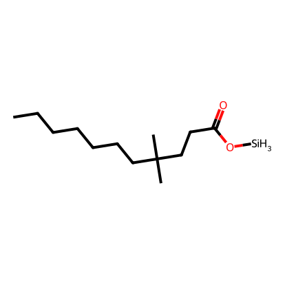 CCCCCCCC(C)(C)CCC(=O)O[SiH3]